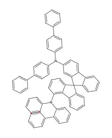 c1ccc(-c2ccc(N(c3ccc(-c4ccccc4)cc3)c3ccc4c(c3)C3(c5ccccc5-4)c4ccccc4-c4c(N(c5ccccc5)c5ccccc5-c5ccccc5)cccc43)cc2)cc1